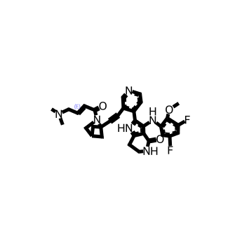 COc1c(F)cc(F)cc1Nc1c(-c2ccncc2C#CC23CC(CN2C(=O)/C=C/CN(C)C)C3)[nH]c2c1C(=O)NCC2